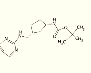 CC(C)(C)OC(=O)N[C@H]1CC[C@@H](CNc2ncccn2)C1